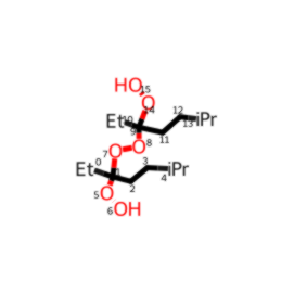 CCC(CCC(C)C)(OO)OOC(CC)(CCC(C)C)OO